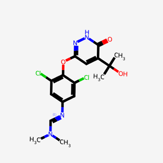 CN(C)/C=N/c1cc(Cl)c(Oc2cc(C(C)(C)O)c(=O)[nH]n2)c(Cl)c1